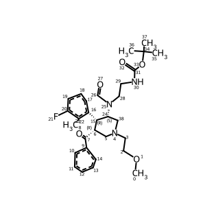 COCCN1C[C@H](C(=O)c2ccccc2)[C@H](c2cccc(F)c2C)[C@H](N(C=O)CCNC(=O)OC(C)(C)C)C1